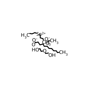 CC(=O)[O-].CCCCCCCCCCCC(=O)[O-].CCC[CH2][Sn+2][CH2]CCC.OCCOCCO